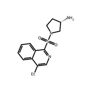 CCc1cnc(S(=O)(=O)N2CC[C@H](N)C2)c2ccccc12